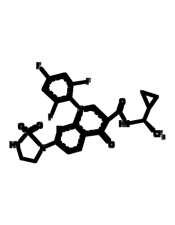 O=C(N[C@@H](C1CC1)C(F)(F)F)c1cn(-c2c(F)cc(F)cc2F)c2nc(N3CCNS3(=O)=O)ccc2c1=O